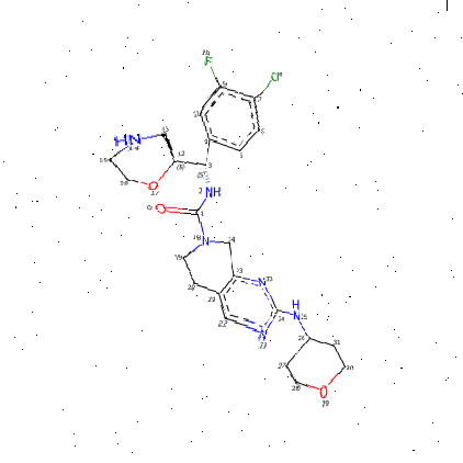 O=C(N[C@@H](c1ccc(Cl)c(F)c1)[C@@H]1CNCCO1)N1CCc2cnc(NC3CCOCC3)nc2C1